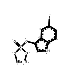 CCCCOP(=O)(OCCCC)Oc1c[nH]c2ccc(I)cc12